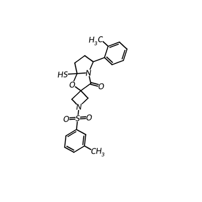 Cc1cccc(S(=O)(=O)N2CC3(C2)OC2(S)CCC(c4ccccc4C)N2C3=O)c1